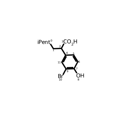 CCCC(C)CC(C(=O)O)c1ccc(O)c(Br)c1